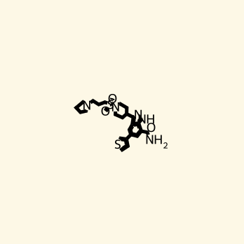 NC(=O)c1cc(-c2ccsc2)cc2c(C3CCN(S(=O)(=O)CCCN4CCCC4)CC3)n[nH]c12